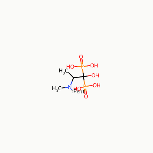 CCCC(C)N(C)C(C)C(O)(P(=O)(O)O)P(=O)(O)O